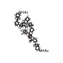 CC(=O)Nc1ccc2oc(-c3ccnc(C(=O)N4CC5CCC4CN5C(C4=NN(C)NN4)c4cccc(N5NC(C(c6ccccc6)N6C[C@H]7C[C@@H]6CN7C(=O)c6cc(-c7nc8cc(NC(C)=O)ccc8o7)ccn6)=NN5C)c4)c3)nc2c1